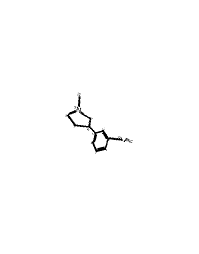 CC(=O)c1cccc(C2CCN(C)C2)c1